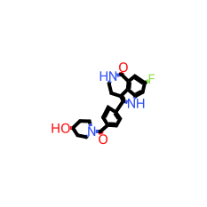 O=C1NCCc2c(-c3ccc(C(=O)N4CCC(O)CC4)cc3)[nH]c3cc(F)cc1c23